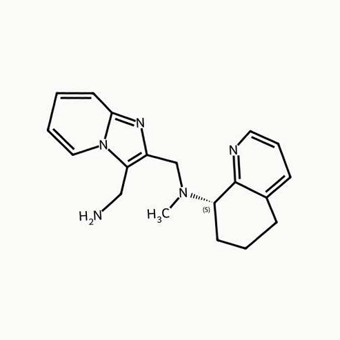 CN(Cc1nc2ccccn2c1CN)[C@H]1CCCc2cccnc21